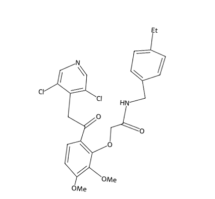 CCc1ccc(CNC(=O)COc2c(C(=O)Cc3c(Cl)cncc3Cl)ccc(OC)c2OC)cc1